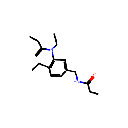 C=C(CC)N(CC)c1cc(CNC(=O)CC)ccc1CC